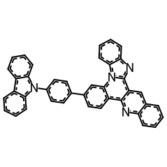 c1ccc2nc3c4ccc(-c5ccc(-n6c7ccccc7c7ccccc76)cc5)cc4n4c5ccccc5nc4c3cc2c1